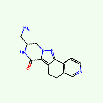 NCC1Cn2nc3c(c2C(=O)N1)CCc1cnccc1-3